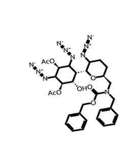 CC(=O)O[C@H]1C(N=[N+]=[N-])C([C@H]2O[C@H](CN(Cc3ccccc3)C(=O)OCc3ccccc3)CCC2N=[N+]=[N-])[C@H](O)[C@@H](OC(C)=O)C1N=[N+]=[N-]